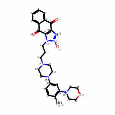 O=C1c2ccccc2C(=O)c2c1n[n+]([O-])n2CCCN1CCN(c2ccc([N+](=O)[O-])c(N3CCOCC3)c2)CC1